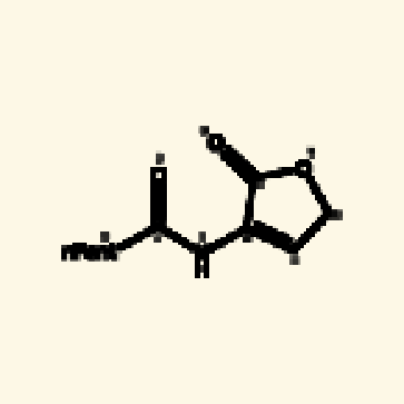 CCCCCC(=O)NC1=CCOC1=O